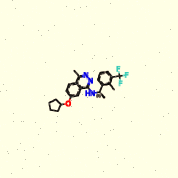 Cc1c([C@@H](C)Nc2nnc(C)c3ccc(OC4CCCC4)cc23)cccc1C(F)(F)F